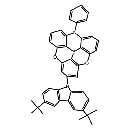 CC(C)(C)c1ccc2c(c1)c1cc(C(C)(C)C)ccc1n2-c1cc2c3c(c1)Oc1cccc4c1B3c1c(cccc1N4c1ccccc1)O2